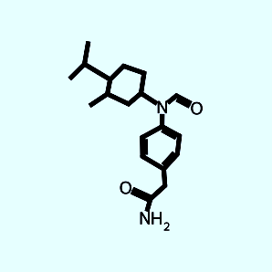 CC(C)C1CCC(N(C=O)c2ccc(CC(N)=O)cc2)CC1C